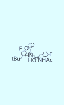 CC(=O)N[C@@H](Cc1ccc(F)cc1)[C@H](O)CN[C@H]1C[C@@]2(CCOC2)Oc2c(F)cc(CC(C)(C)C)cc21